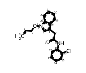 C=CCOn1cc(CC(=O)Nc2ccccc2Cl)c2ccccc21